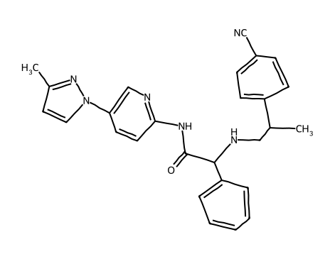 Cc1ccn(-c2ccc(NC(=O)C(NCC(C)c3ccc(C#N)cc3)c3ccccc3)nc2)n1